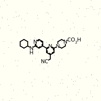 N#CCc1cc(-c2ccnc(NC3CCCCC3)c2)nc(N2CCN(C(=O)O)CC2)c1